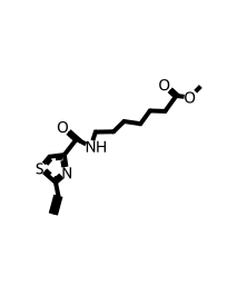 C#Cc1nc(C(=O)NCCCCCCC(=O)OC)cs1